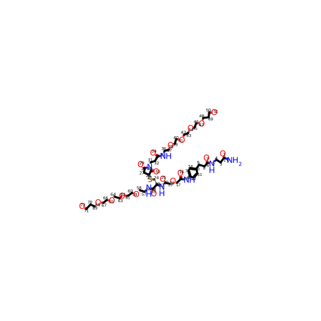 NC(=O)CCNC(=O)CCc1ccc(NC(=O)COCC(=O)N[C@@H](CSC2CC(=O)N(CCC(=O)NCCOCCOCCOCCOCCC=O)C2=O)C(=O)NCCOCCOCCOCCOCCC=O)cc1